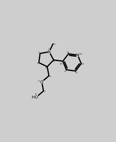 CN1CCC(COCO)C1c1cccnc1